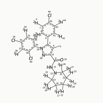 [2H]c1c([2H])c(-c2c(C)c(C(=O)NN3C([2H])([2H])C([2H])([2H])C([2H])([2H])C([2H])([2H])C3([2H])[2H])nn2-c2c([2H])c([2H])c(Cl)c([2H])c2Cl)c([2H])c([2H])c1Cl